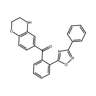 O=C(c1ccc2c(c1)NCCO2)c1ccccc1-c1nc(-c2ccccc2)no1